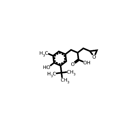 Cc1cc(CC(CC2CO2)C(=O)O)cc(C(C)(C)C)c1O